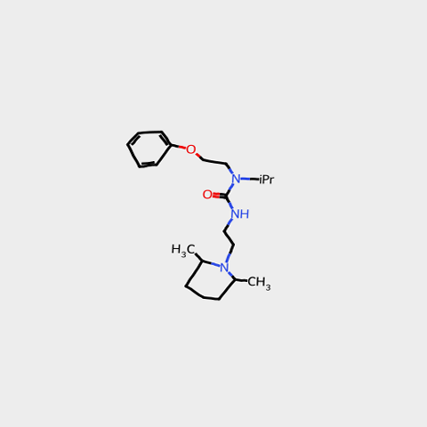 CC(C)N(CCOc1ccccc1)C(=O)NCCN1C(C)CCCC1C